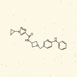 O=C(NC1CN(Cc2ccc(Nc3ccccc3)nc2)C1)c1cn(C2CC2)nn1